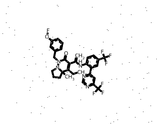 C=C(Nc1ccc(C(F)(F)F)cc1-c1cc(C(F)(F)F)ncn1)C1=C(CC)C2(C)CCCN2N(Cc2cccc(OF)c2)C1=O